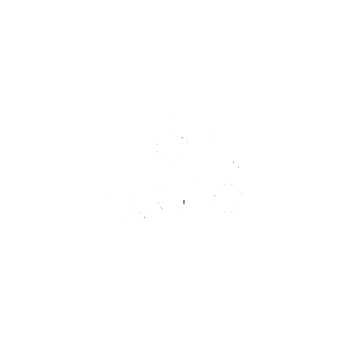 Cn1cc(-c2cc(NS(C)(=O)=O)ccc2Oc2ccccc2C#N)ccc1=O